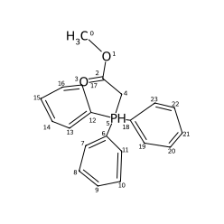 COC(=O)C[PH](c1ccccc1)(c1ccccc1)c1ccccc1